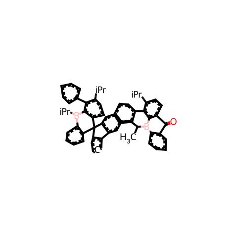 CC(C)B1c2ccccc2C2(c3ccccc3-c3cc(CC(C)B4c5ccccc5C(=O)c5ccc(C(C)C)c(-c6ccccc6)c54)ccc32)c2ccc(C(C)C)c(-c3ccccc3)c21